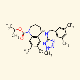 CCc1cc2c(cc1C(F)(F)F)N(C(=O)OC(C)C(F)(F)F)CCC[C@@H]2N(Cc1cc(C(F)(F)F)cc(C(F)(F)F)c1)c1nnn(C)n1